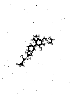 O=C(Nc1cn2cc(-c3c(Cl)c(F)c(Cn4nccn4)c4[nH]ncc34)ccc2n1)C1CC1F